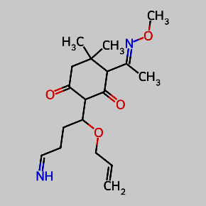 C=CCOC(CCC=N)C1C(=O)CC(C)(C)C(C(C)=NOC)C1=O